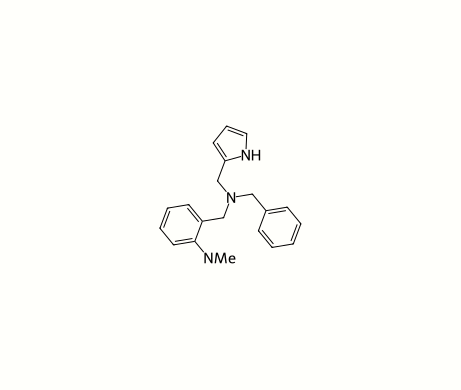 CNc1ccccc1CN(Cc1ccccc1)Cc1ccc[nH]1